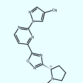 N#Cc1cnn(-c2nccc(-c3nc([C@@H]4CCCN4C#N)no3)n2)c1